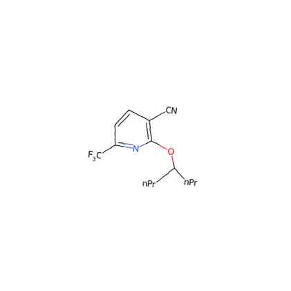 CCCC(CCC)Oc1nc(C(F)(F)F)ccc1C#N